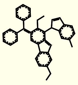 CCc1ccc2c(c1)[C]=c1c-2cc(=C(c2ccccc2)c2ccccc2)c(CC)c1C1C=Cc2ccc(C)cc21